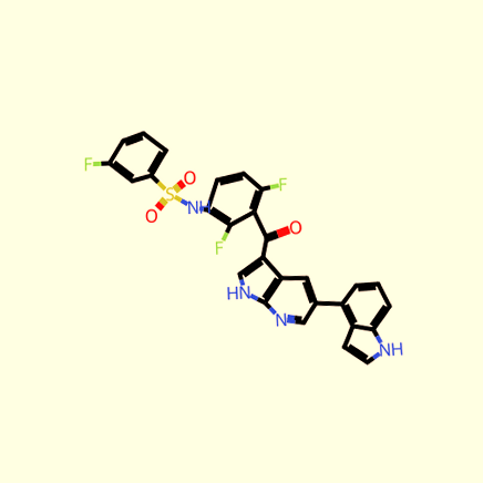 O=C(c1c(F)ccc(NS(=O)(=O)c2cccc(F)c2)c1F)c1c[nH]c2ncc(-c3cccc4[nH]ccc34)cc12